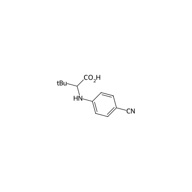 CC(C)(C)C(Nc1ccc(C#N)cc1)C(=O)O